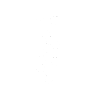 c1ccc(-c2oc3cc4oc5c(-c6c7ccccc7c(-c7cccc8c7sc7ccccc78)c7ccccc67)cccc5c4cc3c2-c2ccccc2)cc1